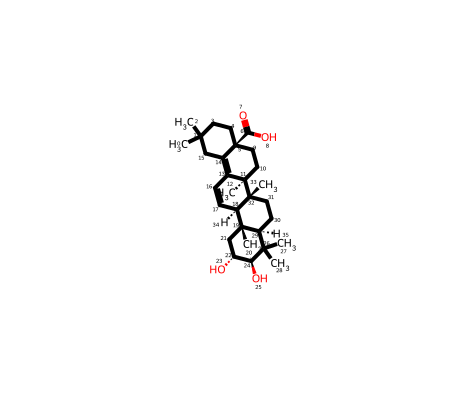 CC1(C)CC[C@]2(C(=O)O)CC[C@]3(C)C(=C2C1)C=C[C@@H]1[C@@]2(C)C[C@@H](O)[C@H](O)C(C)(C)[C@@H]2CC[C@]13C